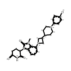 Cn1c(=O)n(C2CCC(=O)NC2=O)c2cccc(N3CC(C4CCN(c5ccc(Cl)cc5)CC4)C3)c21